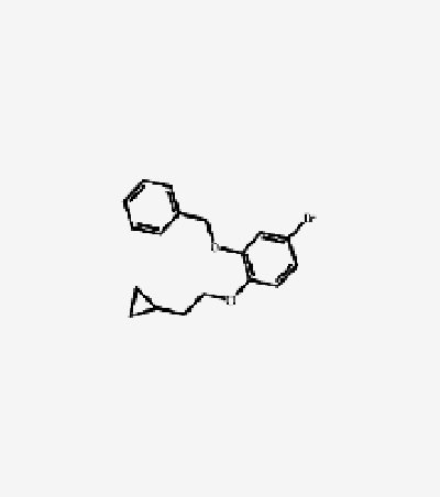 Brc1ccc(OCCC2CC2)c(OCc2ccccc2)c1